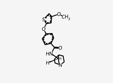 COc1csc(Oc2ccc(C(=O)N[C@H]3CN4CCC3CC4)cc2)c1